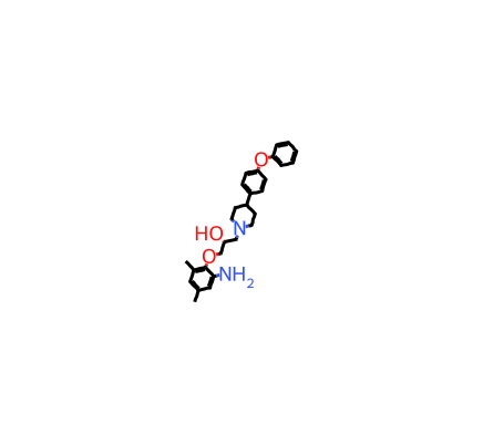 Cc1cc(C)c(OCC(O)CN2CCC(c3ccc(Oc4ccccc4)cc3)CC2)c(N)c1